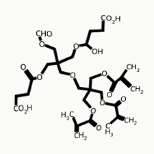 C=C(C)C(=O)OCC(COCC(COC=O)(COC(=O)CCC(=O)O)COC(O)CCC(=O)O)(COC(=O)C(=C)C)COC(=O)C(=C)C